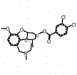 COc1ccc2c3c1OC1C[C@@H](OC(=O)c4ccc(Cl)c(Cl)c4)CC(C)[C@@]31CCN(C)C2